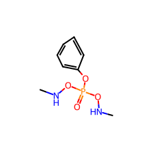 CNOP(=O)(ONC)Oc1ccccc1